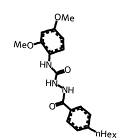 CCCCCCc1ccc(C(=O)NNC(=O)Nc2ccc(OC)cc2OC)cc1